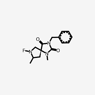 CC1C[C@@]2(CN1F)C(=O)N(Cc1ccccc1)C(=O)N2C